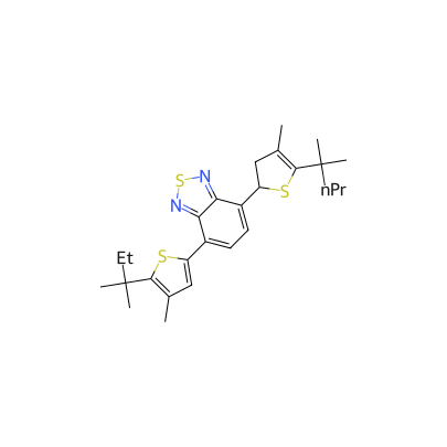 CCCC(C)(C)C1=C(C)CC(c2ccc(-c3cc(C)c(C(C)(C)CC)s3)c3nsnc23)S1